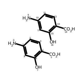 Nc1ccc(C(=O)O)c(O)c1.Nc1ccc(C(=O)O)c(O)c1